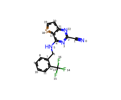 N#Cc1nc(NCc2ccccc2C(F)(F)F)c2sccc2n1